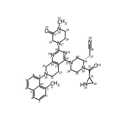 Cc1cccc2cccc(N3CCc4c(nc(N5CCN(C)C(=O)C5)nc4N4CCN(C(=O)[C@H]5CN5)[C@@H](CC#N)C4)C3)c12